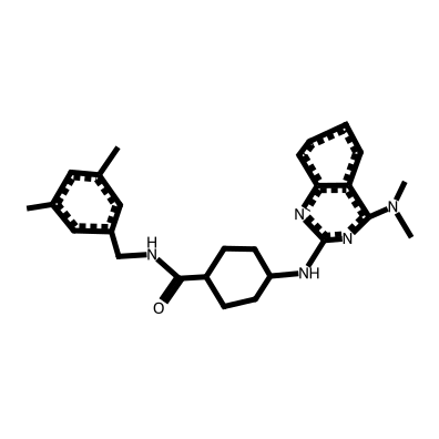 Cc1cc(C)cc(CNC(=O)C2CCC(Nc3nc(N(C)C)c4ccccc4n3)CC2)c1